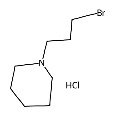 BrCCCN1CCCCC1.Cl